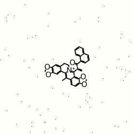 C=C(C(=O)c1cccc2ccccc12)c1c2c3c(ccc2c(C)c2[n+]1CCc1cc4c(cc1-2)OCO4)OCO3